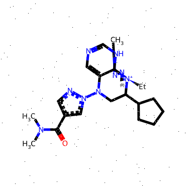 CC[N@@+]12C=NN(C)C13NC=NC=C3N(n1cc(C(=O)N(C)C)cn1)CC2C1CCCC1